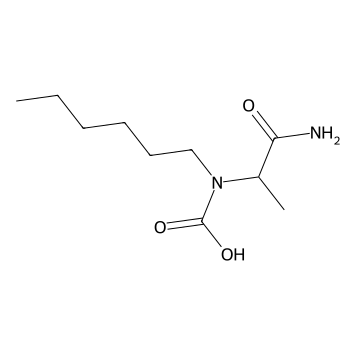 CCCCCCN(C(=O)O)C(C)C(N)=O